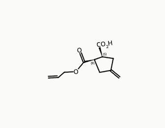 C=CCOC(=O)[C@@H]1CC(=C)C[C@@H]1C(=O)O